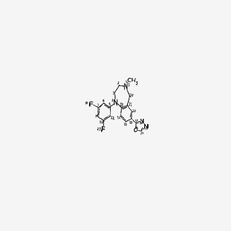 CN1CCN(c2cc(F)cc(F)c2)c2ccc(-c3nnco3)cc2C1